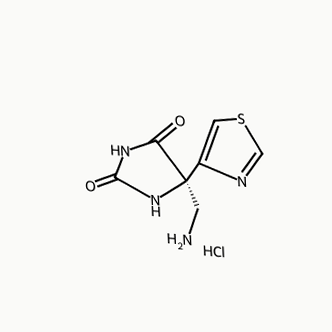 Cl.NC[C@]1(c2cscn2)NC(=O)NC1=O